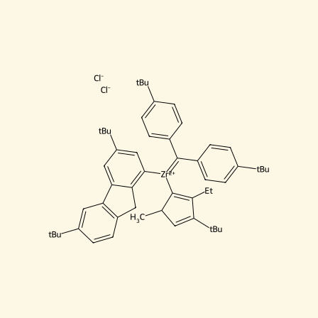 CCC1=[C]([Zr+2](=[C](c2ccc(C(C)(C)C)cc2)c2ccc(C(C)(C)C)cc2)[c]2cc(C(C)(C)C)cc3c2Cc2ccc(C(C)(C)C)cc2-3)C(C)C=C1C(C)(C)C.[Cl-].[Cl-]